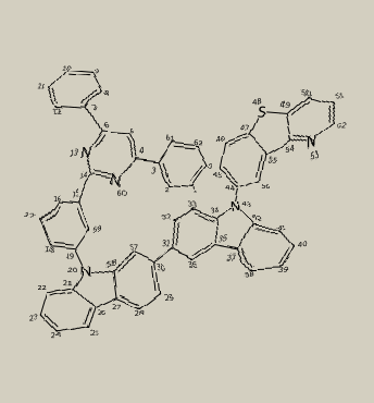 c1ccc(-c2cc(-c3ccccc3)nc(-c3cccc(-n4c5ccccc5c5ccc(-c6ccc7c(c6)c6ccccc6n7-c6ccc7sc8cccnc8c7c6)cc54)c3)n2)cc1